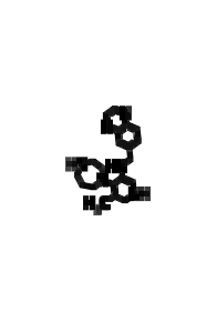 CC1=C(N2CCCNCC2)C(NCc2ccc3nccnc3c2)=CNC1